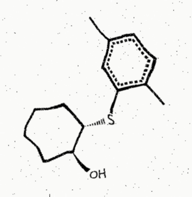 Cc1ccc(C)c(S[C@H]2CCCC[C@@H]2O)c1